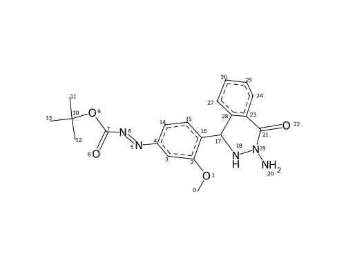 COc1cc(N=NC(=O)OC(C)(C)C)ccc1C1NN(N)C(=O)c2ccccc21